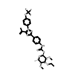 C=C(C)c1nc(-c2ccc(NC(=O)O[C@@H]3O[C@@H](C)[C@H](OC)[C@@H](OCC)[C@H]3OC)cc2)nn1-c1ccc(OC(F)(F)F)cc1